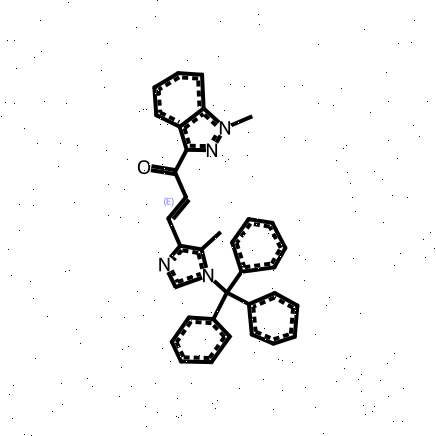 Cc1c(/C=C/C(=O)c2nn(C)c3ccccc23)ncn1C(c1ccccc1)(c1ccccc1)c1ccccc1